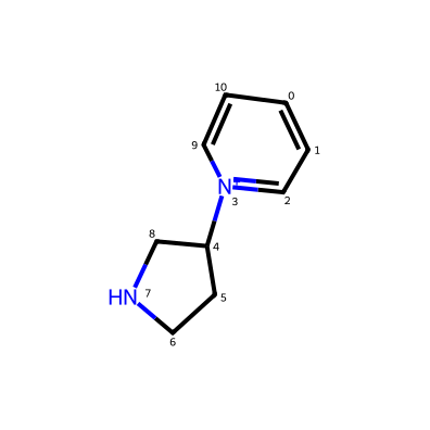 c1cc[n+](C2CCNC2)cc1